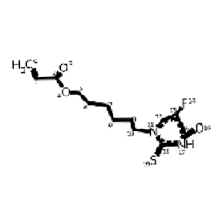 C=CC(=O)OCCCCCCn1cc(F)c(=O)[nH]c1=S